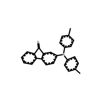 Cc1ccc(N(c2ccc(C)cc2)c2ccc3c(c2)C(=O)c2ccccc2-3)cc1